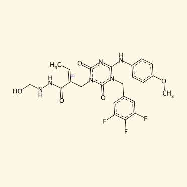 C/C=C(/Cn1c(=O)nc(Nc2ccc(OC)cc2)n(Cc2cc(F)c(F)c(F)c2)c1=O)C(=O)NNCO